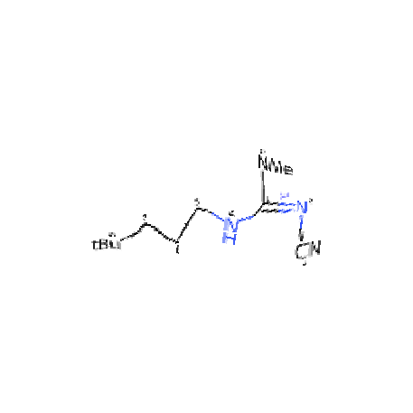 CN/C(=N/C#N)NCCCC(C)(C)C